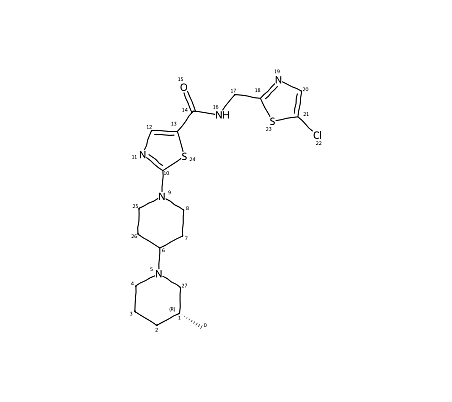 C[C@@H]1CCCN(C2CCN(c3ncc(C(=O)NCc4ncc(Cl)s4)s3)CC2)C1